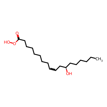 CCCCCC[C@@H](O)C/C=C\CCCCCCCC(=O)OO